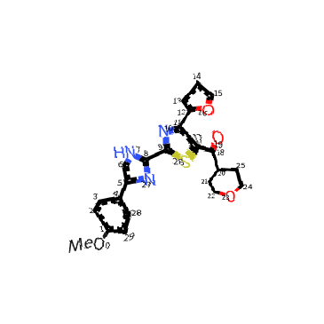 COc1ccc(-c2c[nH]c(-c3nc(-c4ccco4)c(C(=O)C4CCOCC4)s3)n2)cc1